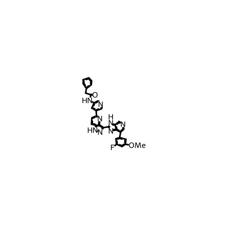 COc1cc(F)cc(-c2cncc3[nH]c(-c4n[nH]c5ccc(-c6cncc(NC(=O)Cc7ccccc7)c6)nc45)nc23)c1